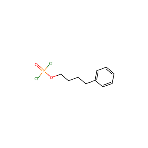 O=P(Cl)(Cl)OCCCCc1ccccc1